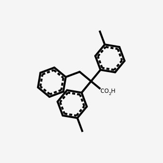 Cc1cccc(C(Cc2ccccc2)(C(=O)O)c2cccc(C)c2)c1